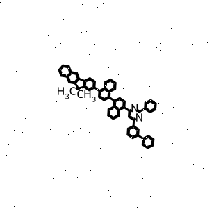 CC1(C)c2cc(-c3ccc(-c4ccc(-c5cc(-c6cccc(-c7ccccc7)c6)nc(-c6ccccc6)n5)c5ccccc45)c4ccccc34)ccc2-c2cc3ccccc3cc21